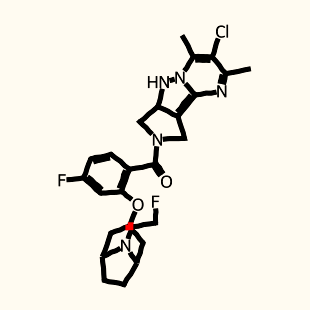 CC1=NC2=C3CN(C(=O)c4ccc(F)cc4OC4CC5CCC(C4)N5CCF)CC3NN2C(C)=C1Cl